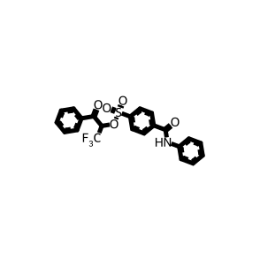 O=C(Nc1ccccc1)c1ccc(S(=O)(=O)OC(C(=O)c2ccccc2)C(F)(F)F)cc1